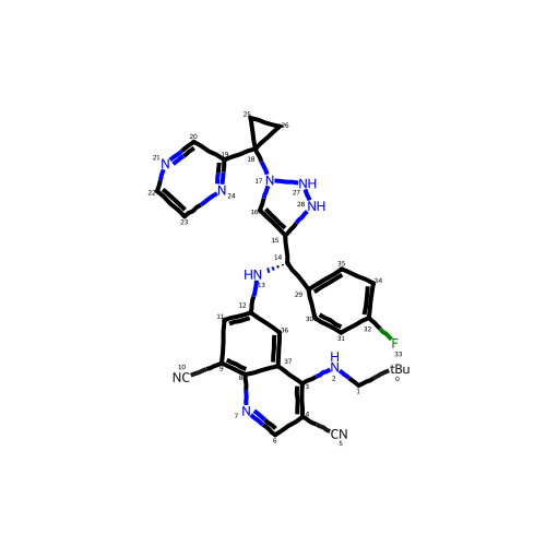 CC(C)(C)CNc1c(C#N)cnc2c(C#N)cc(N[C@H](C3=CN(C4(c5cnccn5)CC4)NN3)c3ccc(F)cc3)cc12